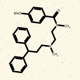 COc1ccc(C(=O)N(C)CCN(C)CCC(c2ccccc2)c2ccccc2)cc1